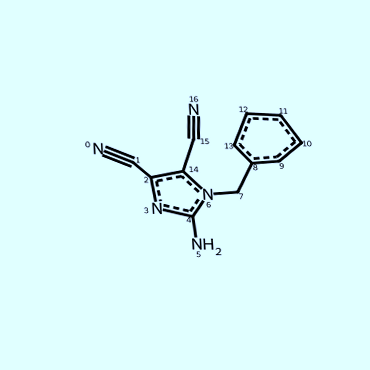 N#Cc1nc(N)n(Cc2ccccc2)c1C#N